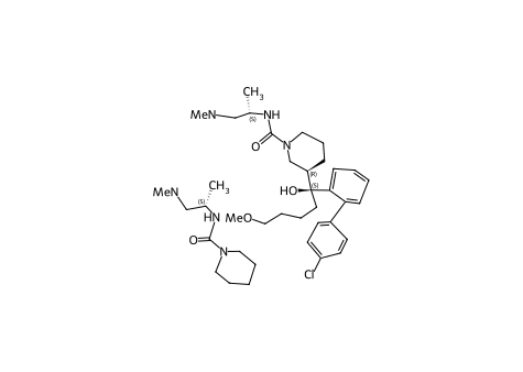 CNC[C@H](C)NC(=O)N1CCCCC1.CNC[C@H](C)NC(=O)N1CCC[C@@H]([C@@](O)(CCCCOC)c2ccccc2-c2ccc(Cl)cc2)C1